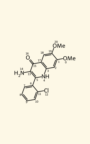 COc1cc2[nH]c(-c3ccccc3Cl)c(N)c(=O)c2cc1OC